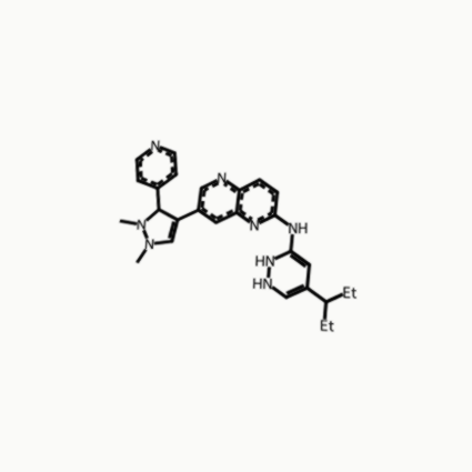 CCC(CC)C1=CNNC(Nc2ccc3ncc(C4=CN(C)N(C)C4c4ccncc4)cc3n2)=C1